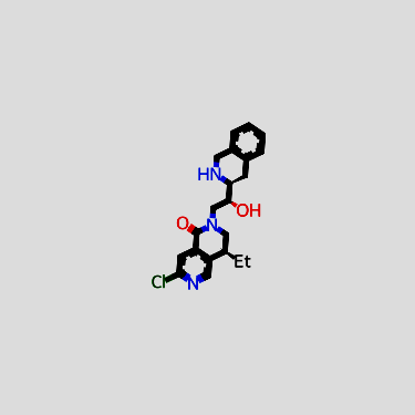 CC[C@@H]1CN(C[C@H](O)[C@@H]2Cc3ccccc3CN2)C(=O)c2cc(Cl)ncc21